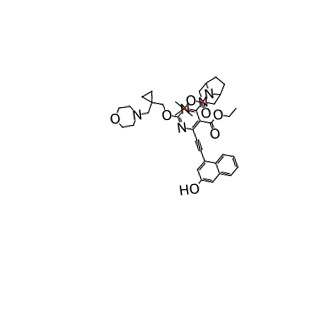 CCOC(=O)c1c(C#Cc2cc(O)cc3ccccc23)nc(OCC2(CN3CCOCC3)CC2)nc1N1CC2CCC(C1)N2C(=O)OC(C)(C)C